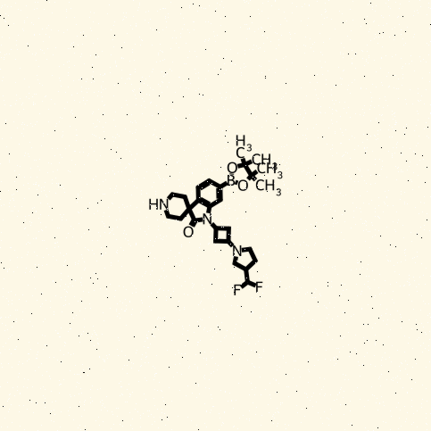 CC1(C)OB(c2ccc3c(c2)N(C2CC(N4CCC(C(F)F)C4)C2)C(=O)C32CCNCC2)OC1(C)C